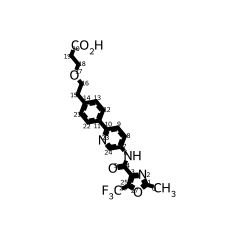 Cc1nc(C(=O)Nc2ccc(-c3ccc(CCOCCC(=O)O)cc3)nc2)c(C(F)(F)F)o1